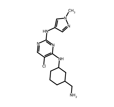 Cn1cc(Nc2ncc(Cl)c(NC3CCCC(CN)C3)n2)cn1